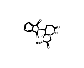 CC(C)(C)OC(=O)CN1NC(=O)CCC(N2C(=O)c3ccccc3C2=O)C1=O